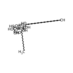 C#CC#CC#CC#CC#CC#CC#CC#CC#CC#CC#C[C@@H](O)[C@@H](O)[C@@H](O)C(=O)N[C@@H](COC1OC(CO)C(O)C(O)C1O)[C@H](O)[C@H](O)CCCCCCCCCCCCCC